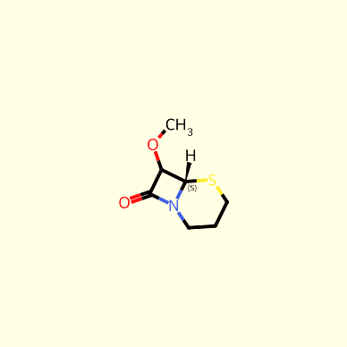 COC1C(=O)N2CCCS[C@@H]12